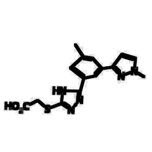 Cc1cc(-c2ccn(C)n2)cc(-c2nnc(SCC(=O)O)[nH]2)c1